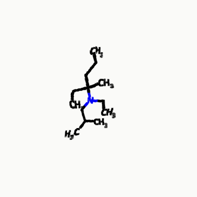 CCCC(C)(CC)N(CC)CC(C)C